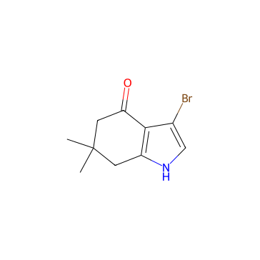 CC1(C)CC(=O)c2c(Br)c[nH]c2C1